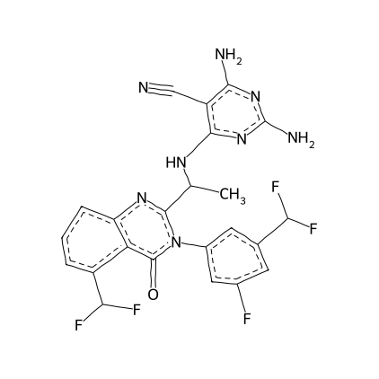 CC(Nc1nc(N)nc(N)c1C#N)c1nc2cccc(C(F)F)c2c(=O)n1-c1cc(F)cc(C(F)F)c1